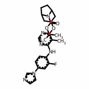 Cc1c(Nc2ccc(-n3ccnc3)cc2F)ncnc1OC1CC2CCC(C1)N2C(=O)OC(C)C